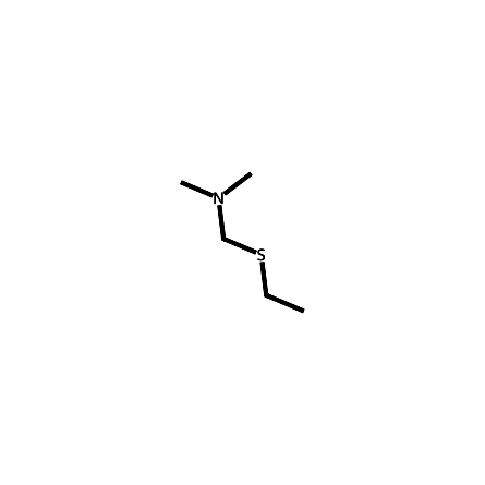 CCSCN(C)C